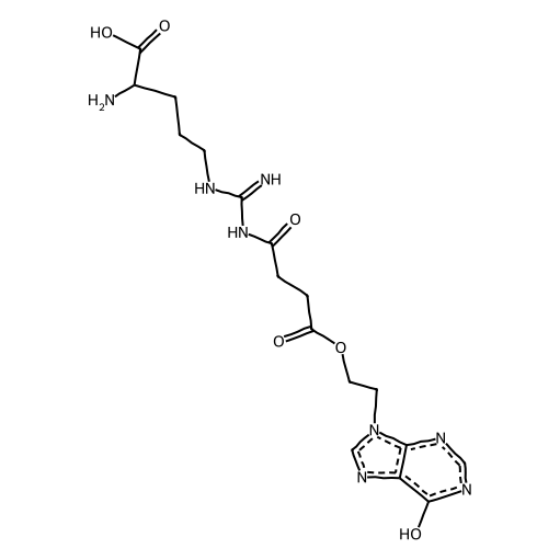 N=C(NCCCC(N)C(=O)O)NC(=O)CCC(=O)OCCn1cnc2c(O)ncnc21